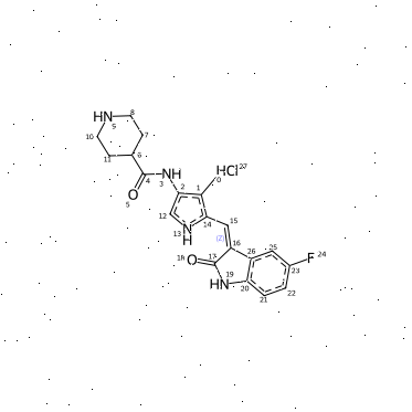 Cc1c(NC(=O)C2CCNCC2)c[nH]c1/C=C1\C(=O)Nc2ccc(F)cc21.Cl